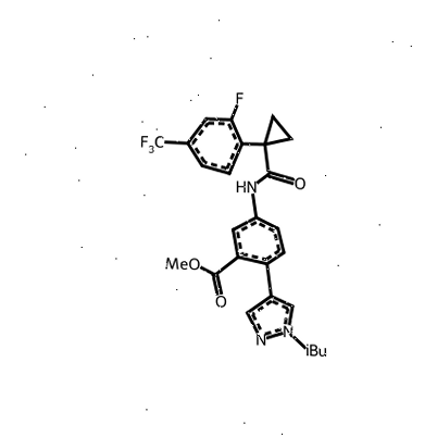 CCC(C)n1cc(-c2ccc(NC(=O)C3(c4ccc(C(F)(F)F)cc4F)CC3)cc2C(=O)OC)cn1